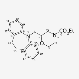 CCOC(=O)N1CCOC(CN2c3ccccc3CCc3ccccc32)C1